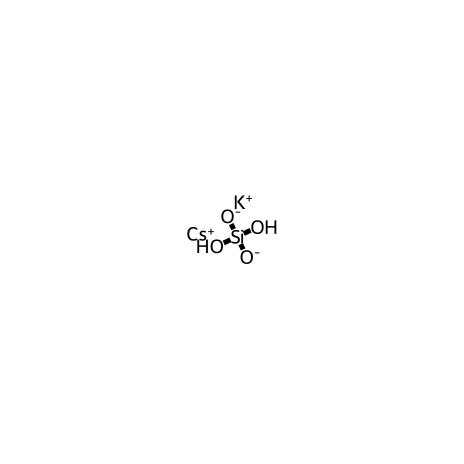 [Cs+].[K+].[O-][Si]([O-])(O)O